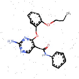 CCCOc1ccccc1Oc1nc(N)ncc1C(=O)Nc1ccccc1